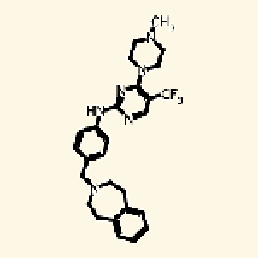 CN1CCN(c2nc(Nc3ccc(CN4CCc5ccccc5CC4)cc3)ncc2C(F)(F)F)CC1